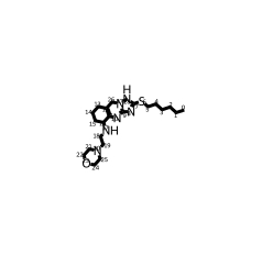 CCCCCCSC1=NC2=NC3=C(CCCC3NCCN3CCOCC3)CN2N1